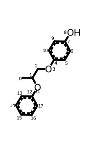 CC(COc1ccc(O)cc1)Oc1ccccc1